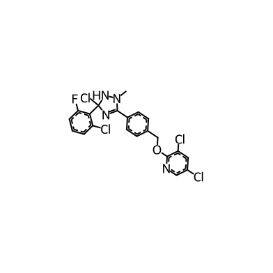 CN1NC(Cl)(c2c(F)cccc2Cl)N=C1c1ccc(COc2ncc(Cl)cc2Cl)cc1